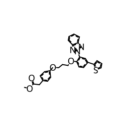 COC(=O)Cc1ccc(OCCCOc2ccc(-c3cccs3)cc2-n2nc3ccccc3n2)cc1